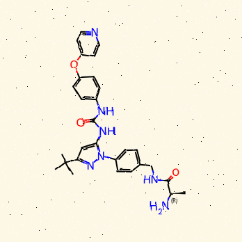 C[C@@H](N)C(=O)NCc1ccc(-n2nc(C(C)(C)C)cc2NC(=O)Nc2ccc(Oc3ccncc3)cc2)cc1